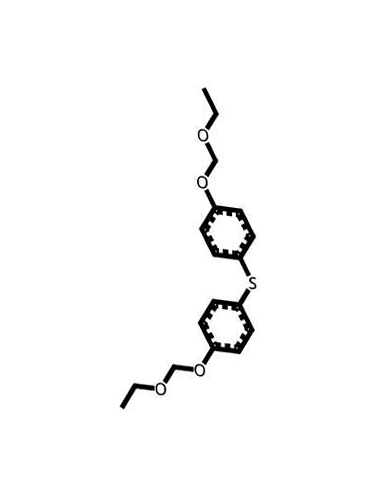 CCOCOc1ccc(Sc2ccc(OCOCC)cc2)cc1